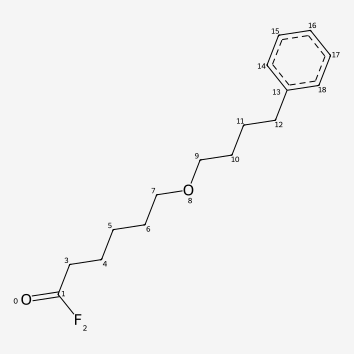 O=C(F)CCCCCOCCCCc1ccccc1